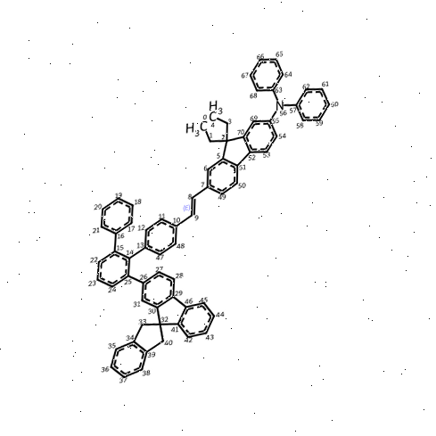 CCC1(CC)c2cc(/C=C/c3ccc(-c4c(-c5ccccc5)cccc4-c4ccc5c(c4)C4(Cc6ccccc6C4)c4ccccc4-5)cc3)ccc2-c2ccc(N(c3ccccc3)c3ccccc3)cc21